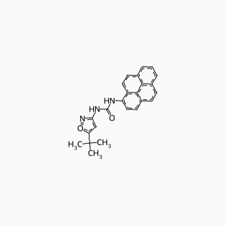 CC(C)(C)c1cc(NC(=O)Nc2ccc3ccc4cccc5ccc2c3c45)no1